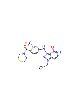 Cc1cc(Nc2nn(CC3CC3)c3cc[nH]c(=O)c23)ccc1C(=O)N1CCSCC1